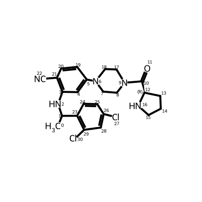 CC(Nc1cc(N2CCN(C(=O)[C@H]3CCCN3)CC2)ccc1C#N)c1ccc(Cl)cc1Cl